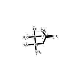 C=C(C)C[Si]([SiH3])([SiH3])[Si](C)(C)C